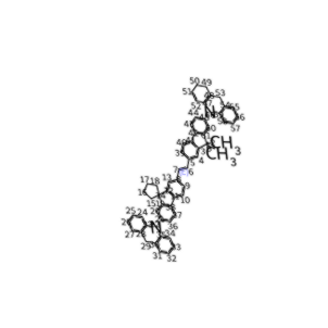 CC1(C)c2cc(/C=C/c3ccc4c(c3)C3(CCCC3)c3cc(N5c6ccccc6Cc6ccccc65)ccc3-4)ccc2-c2ccc(N3C4=C(CCC=C4)Cc4ccccc43)cc21